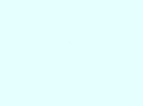 CC(C)Cc1ccccc1[CH]C(=O)N(CC(C)C)c1ccccc1